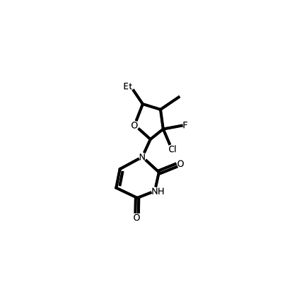 CCC1OC(n2ccc(=O)[nH]c2=O)C(F)(Cl)C1C